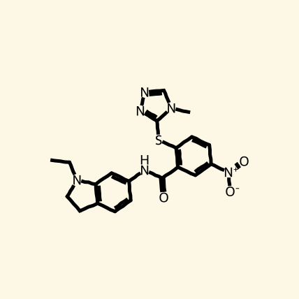 CCN1CCc2ccc(NC(=O)c3cc([N+](=O)[O-])ccc3Sc3nncn3C)cc21